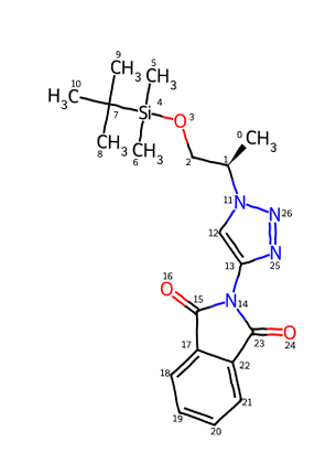 C[C@H](CO[Si](C)(C)C(C)(C)C)n1cc(N2C(=O)c3ccccc3C2=O)nn1